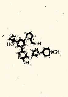 CN1CCC(n2cc(Oc3nc(-c4cc(N5CCCC5CO)cc(C5(O)COC5)c4)cnc3N)cn2)CC1